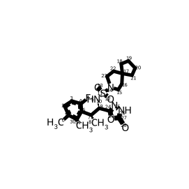 Cc1ccc(F)c([C@H](C)[C@H](NS(=O)(=O)N2CCC3(CCCC3)CC2)c2n[nH]c(=O)o2)c1C